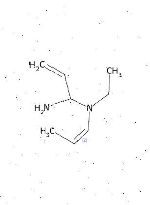 C=CC(N)N(/C=C\C)CC